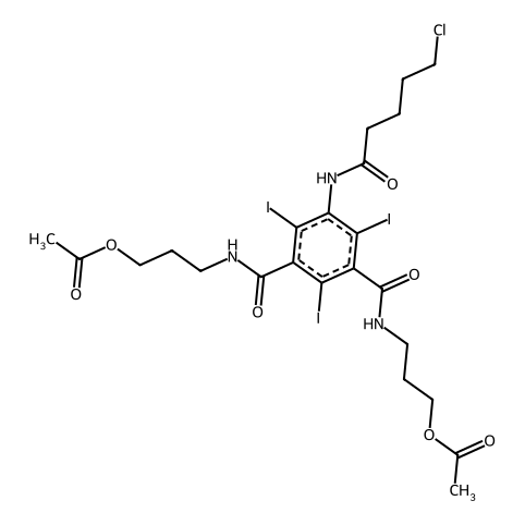 CC(=O)OCCCNC(=O)c1c(I)c(NC(=O)CCCCCl)c(I)c(C(=O)NCCCOC(C)=O)c1I